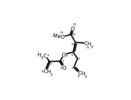 C=CCC(OC(=O)C(=C)C)=C(C)C(=O)OC